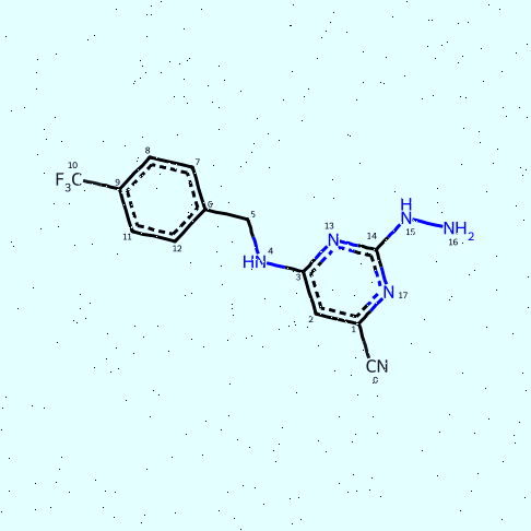 N#Cc1cc(NCc2ccc(C(F)(F)F)cc2)nc(NN)n1